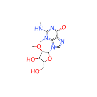 CNc1nc(=O)c2ncn([C@@H]3O[C@H](CO)[C@@H](O)[C@H]3OC)c2n1C